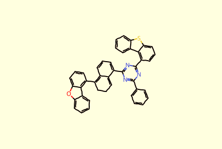 C1=c2c(-c3nc(-c4ccccc4)nc(-c4cccc5sc6ccccc6c45)n3)cccc2=C(c2cccc3oc4ccccc4c23)CC1